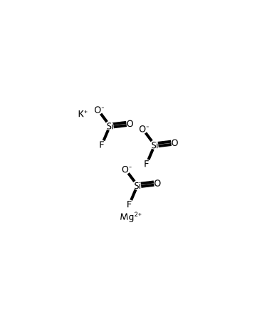 O=[Si]([O-])F.O=[Si]([O-])F.O=[Si]([O-])F.[K+].[Mg+2]